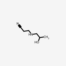 CC(O)CNCCC#N